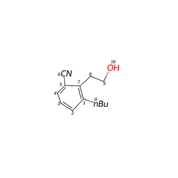 CCCCc1cccc(C#N)c1CCO